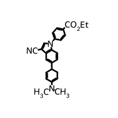 CCOC(=O)c1ccc(-n2cc(C#N)c3cc(C4C=CC(N(C)C)=CC4)ccc32)cc1